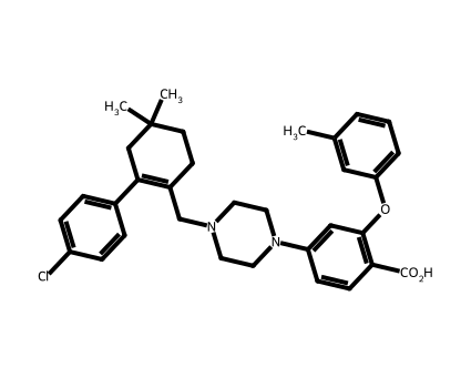 Cc1cccc(Oc2cc(N3CCN(CC4=C(c5ccc(Cl)cc5)CC(C)(C)CC4)CC3)ccc2C(=O)O)c1